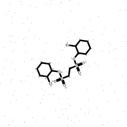 CCC1CCCCC1OS(=O)(=O)CCS(=O)(=O)OC1CCCCC1CC